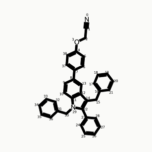 N#CCOc1ccc(-c2ccc3c(c2)c(Cc2ccccc2)c(-c2ccccc2)n3Cc2ccccc2)cc1